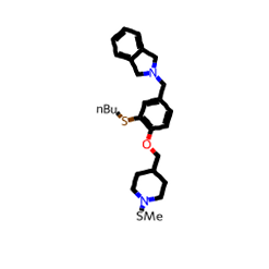 CCCCSc1cc(CN2Cc3ccccc3C2)ccc1OCC1CCN(SC)CC1